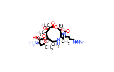 C=C[C@H]1NC[C@H](C)C[C@@](C)(OC)[C@H](O[C@@H]2O[C@H](C)CC(N)C2O)[C@@H](C)C(=O)[C@@H](C)C(=O)O[C@H](CC)[C@H]2OC(=O)N(CCCCN=[N+]=[N-])[C@@H]21